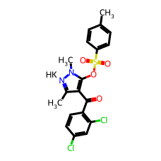 Cc1ccc(S(=O)(=O)Oc2c(C(=O)c3ccc(Cl)cc3Cl)c(C)nn2C)cc1.[KH]